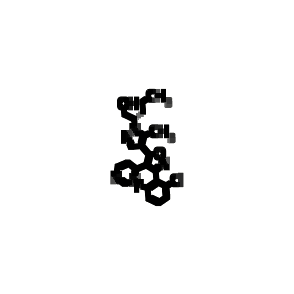 CCC[C@@H](CO)n1ncc(-c2onc(-c3c(F)cccc3Cl)c2-c2ccncn2)c1C